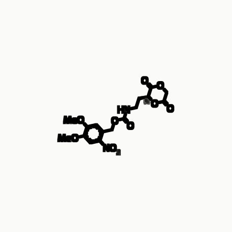 COc1cc(COC(=O)NCC[C@@H]2OC(=O)COC2=O)c([N+](=O)[O-])cc1OC